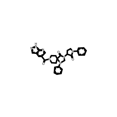 O=C(c1cnc2[nH]ncc2c1)N1CCC2(CC1)C(=O)N(C1CCN(c3ccccc3)C1=O)CN2c1ccccc1